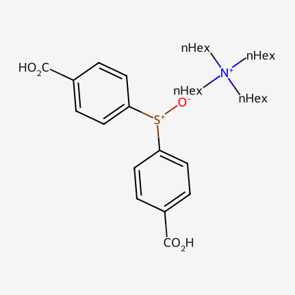 CCCCCC[N+](CCCCCC)(CCCCCC)CCCCCC.O=C(O)c1ccc([S+]([O-])c2ccc(C(=O)O)cc2)cc1